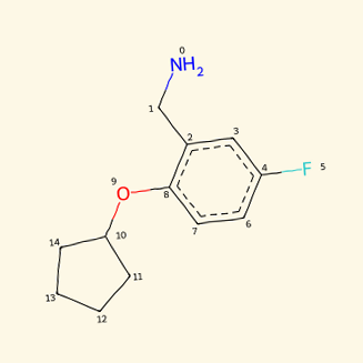 NCc1cc(F)ccc1OC1CCCC1